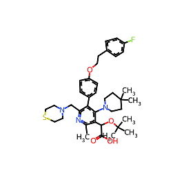 Cc1nc(CN2CCSCC2)c(-c2ccc(OCCc3ccc(F)cc3)cc2)c(N2CCC(C)(C)CC2)c1C(OC(C)(C)C)C(=O)O